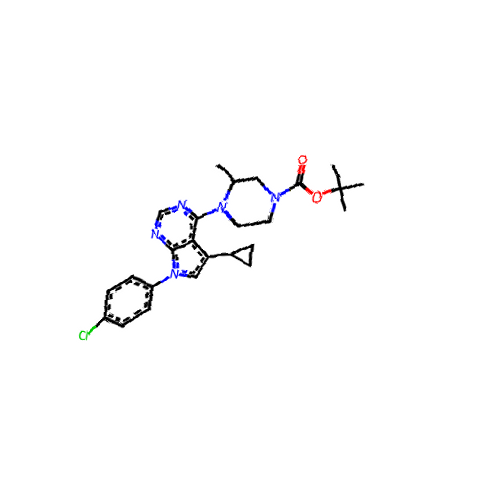 CC1CN(C(=O)OC(C)(C)C)CCN1c1ncnc2c1c(C1CC1)cn2-c1ccc(Cl)cc1